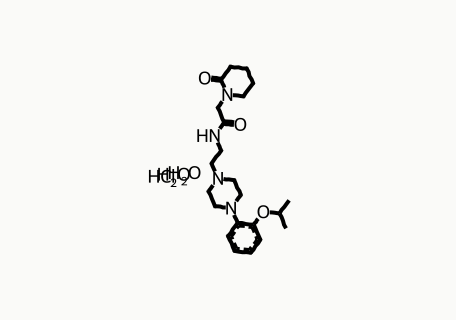 CC(C)Oc1ccccc1N1CCN(CCNC(=O)CN2CCCCC2=O)CC1.Cl.O.O